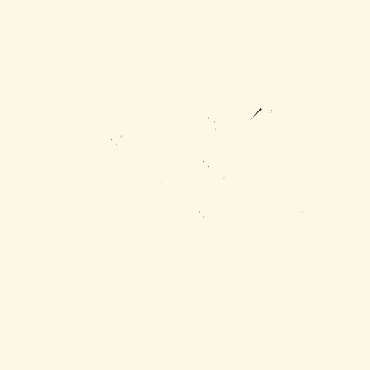 Cc1c([C@@H](Nc2cc3[nH]c(=O)c(Br)cc3c(C#N)n2)C(F)(F)F)oc2c(F)cc(F)cc12